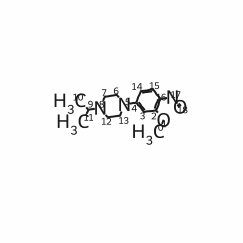 COc1cc(N2CCN(C(C)C)CC2)ccc1N=O